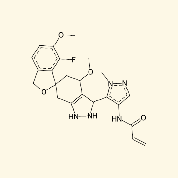 C=CC(=O)Nc1cnn(C)c1C1NNC2=C1C(OC)CC1(C2)OCc2ccc(OC)c(F)c21